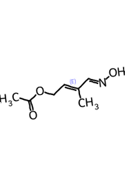 CC(=O)OC/C=C(\C)C=NO